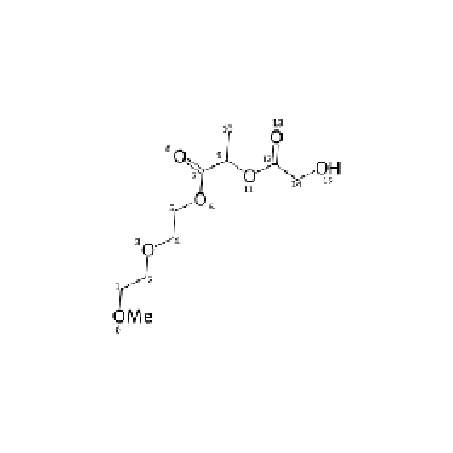 COCCOCCOC(=O)C(C)OC(=O)CO